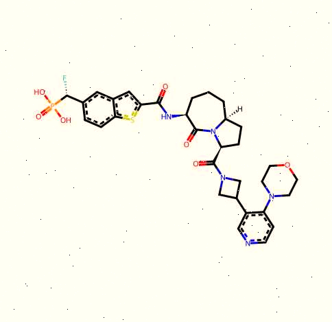 O=C(N[C@H]1CCC[C@H]2CC[C@@H](C(=O)N3CC(c4cnccc4N4CCOCC4)C3)N2C1=O)c1cc2cc([C@@H](F)P(=O)(O)O)ccc2s1